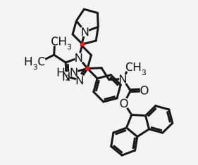 CC(C)c1nnc(CCN(C)C(=O)OC2c3ccccc3-c3ccccc32)n1C1CC2CCC(C1)N2CCC(N)c1ccccc1